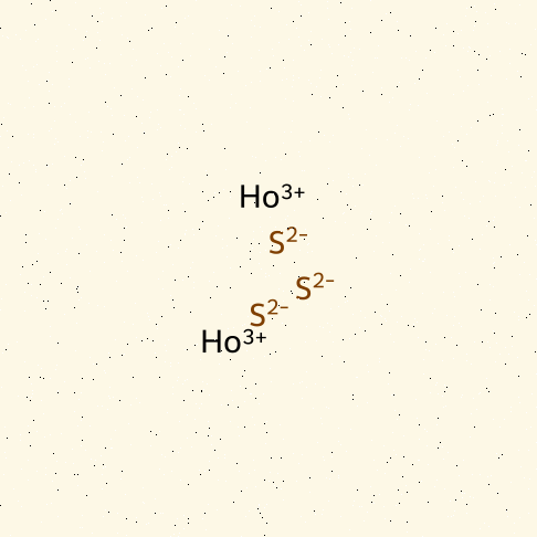 [Ho+3].[Ho+3].[S-2].[S-2].[S-2]